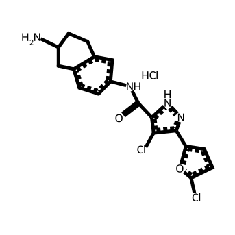 Cl.NC1CCc2cc(NC(=O)c3[nH]nc(-c4ccc(Cl)o4)c3Cl)ccc2C1